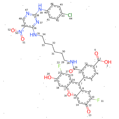 O=C(O)c1ccc(-c2c3cc(F)c(=O)cc-3oc3cc(O)c(F)cc23)c(C(=O)NCCCCCCNc2nc(Nc3ccc(Cl)cc3)ncc2[N+](=O)[O-])c1